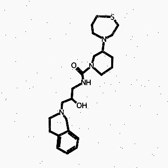 O=C(NCC(O)CN1CCc2ccccc2C1)N1CCCC(N2CCCSCC2)C1